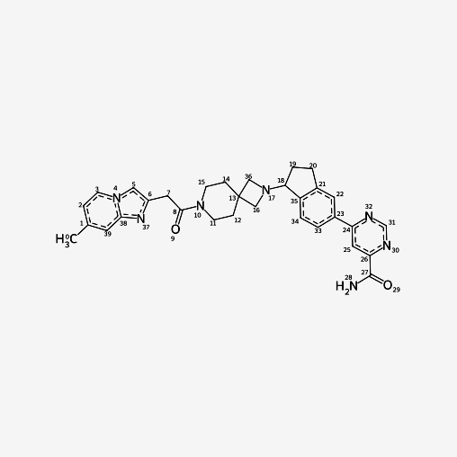 Cc1ccn2cc(CC(=O)N3CCC4(CC3)CN(C3CCc5cc(-c6cc(C(N)=O)ncn6)ccc53)C4)nc2c1